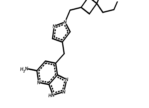 Nc1cc(Cc2cnn(CC3CC4(CCNCC4)C3)c2)c2nn[nH]c2n1